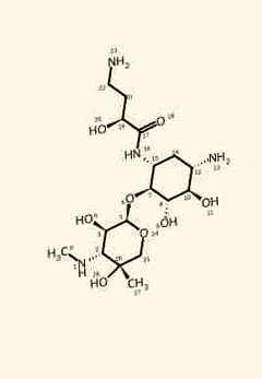 CN[C@@H]1[C@@H](O)[C@@H](O[C@@H]2[C@@H](O)[C@H](O)[C@@H](N)C[C@H]2NC(=O)[C@@H](O)CCN)OC[C@]1(C)O